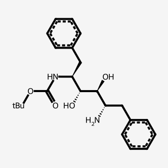 CC(C)(C)OC(=O)N[C@@H](Cc1ccccc1)[C@@H](O)[C@@H](O)[C@@H](N)Cc1ccccc1